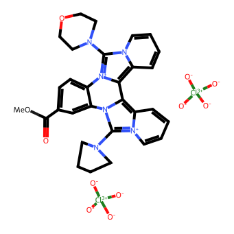 COC(=O)c1ccc2c(c1)n1c(N3CCCC3)[n+]3ccccc3c1c1c3ccccn3c(N3CCOCC3)[n+]21.[O-][Cl+3]([O-])([O-])[O-].[O-][Cl+3]([O-])([O-])[O-]